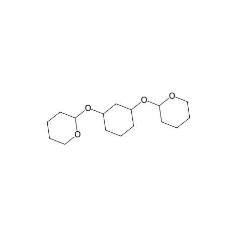 C1CCC(OC2CCCC(OC3CCCCO3)C2)OC1